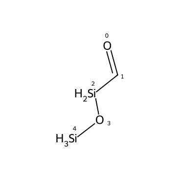 O=C[SiH2]O[SiH3]